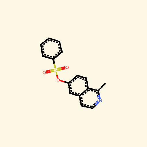 Cc1nccc2cc(OS(=O)(=O)c3ccccc3)ccc12